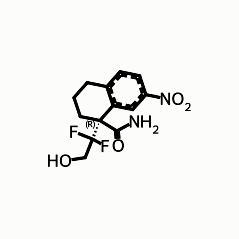 NC(=O)[C@@]1(C(F)(F)CO)CCCc2ccc([N+](=O)[O-])cc21